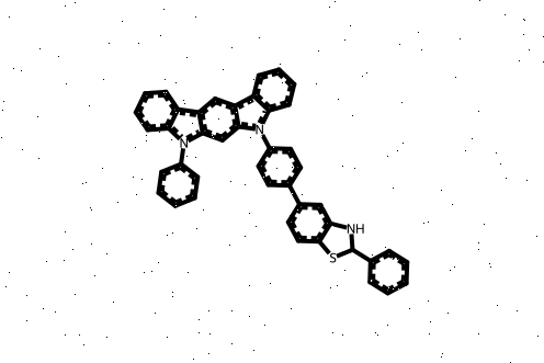 c1ccc(C2Nc3cc(-c4ccc(-n5c6ccccc6c6cc7c8ccccc8n(-c8ccccc8)c7cc65)cc4)ccc3S2)cc1